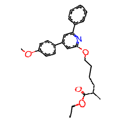 CCOC(=O)C(C)CCCCOc1cc(-c2ccc(OC)cc2)cc(-c2ccccc2)n1